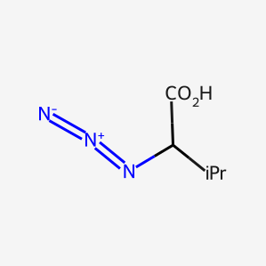 CC(C)C(N=[N+]=[N-])C(=O)O